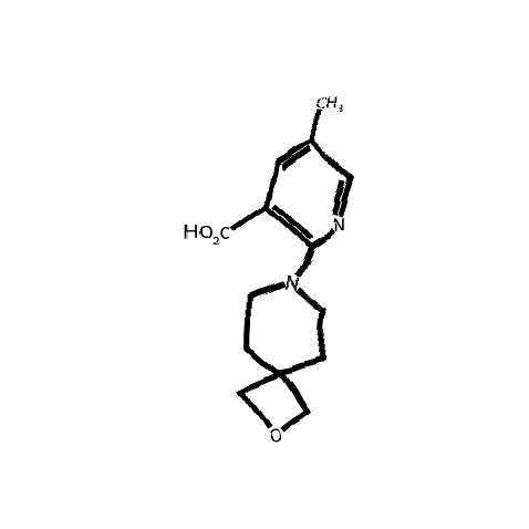 Cc1cnc(N2CCC3(CC2)COC3)c(C(=O)O)c1